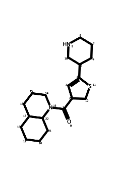 O=C(C1C=C(C2CCCNC2)SC1)N1CCCC2CCCCC21